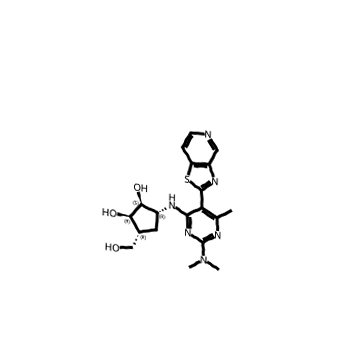 Cc1nc(N(C)C)nc(N[C@@H]2C[C@H](CO)[C@@H](O)[C@H]2O)c1-c1nc2cnccc2s1